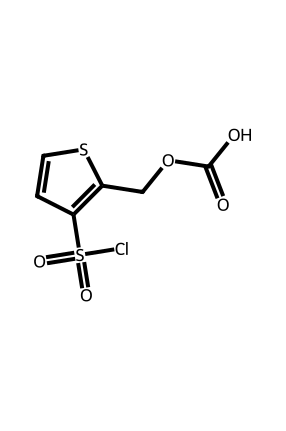 O=C(O)OCc1sccc1S(=O)(=O)Cl